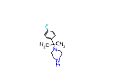 CC(C)(c1ccc(F)cc1)N1CCNCC1